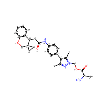 Cc1nn(COC(=O)C(N)C(C)C)c(C)c1-c1ccc(NC(=O)CC2c3ccccc3OCC23CC3)cc1